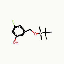 CC(C)(C)[Si](C)(C)OCc1cc(O)cc(F)c1